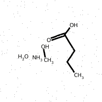 CCCC(=O)O.CO.N.O